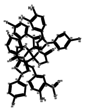 Nc1ccc(CCN2C(=O)COC2(c2cn(-c3ccc(Br)cc3)nc2-c2ccc(F)cc2)C2(c3cn(-c4ccc(Br)cc4)nc3-c3ccc(F)cc3)OCC(=O)N2CCc2ccc(N)c([N+](=O)[O-])c2)cc1N